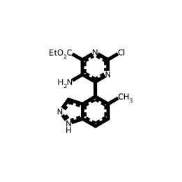 CCOC(=O)c1nc(Cl)nc(-c2c(C)ccc3[nH]ncc23)c1N